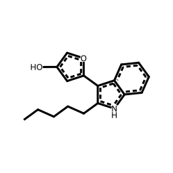 CCCCCc1[nH]c2ccccc2c1-c1cc(O)co1